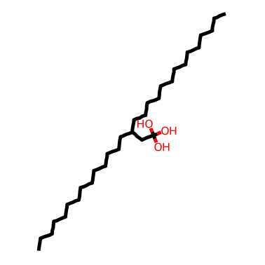 CCCCCCCCCCCCCCC(CCCCCCCCCCCCCC)CC(O)(O)O